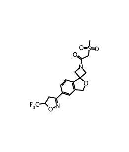 CS(=O)(=O)CC(=O)N1CC2(C1)OCc1cc(C3=NOC(C(F)(F)F)C3)ccc12